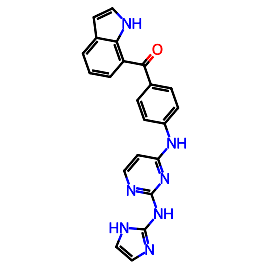 O=C(c1ccc(Nc2ccnc(Nc3ncc[nH]3)n2)cc1)c1cccc2cc[nH]c12